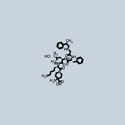 CC(C)C[C@@H](NC(=O)[C@@H](Cc1ccccc1)NC(=O)CNC[C@H](C)c1ccccc1)C(=O)N[C@H](CCCCN)C(=O)N1CCC(N)(C(=O)O)CC1.Cl